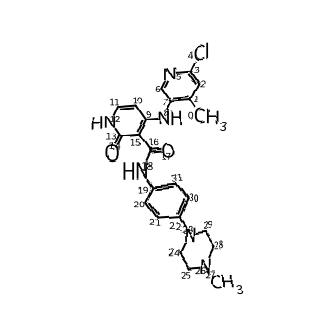 Cc1cc(Cl)ncc1Nc1cc[nH]c(=O)c1C(=O)Nc1ccc(N2CCN(C)CC2)cc1